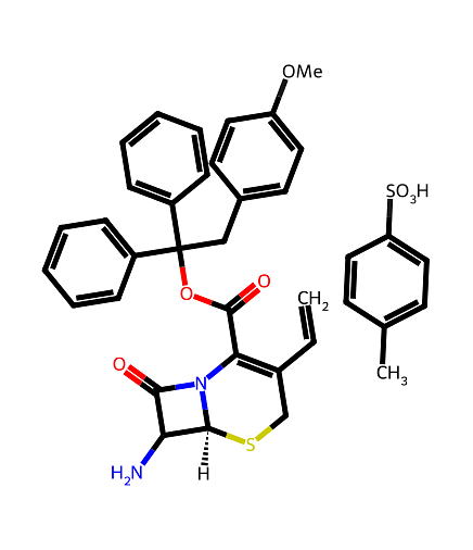 C=CC1=C(C(=O)OC(Cc2ccc(OC)cc2)(c2ccccc2)c2ccccc2)N2C(=O)C(N)[C@@H]2SC1.Cc1ccc(S(=O)(=O)O)cc1